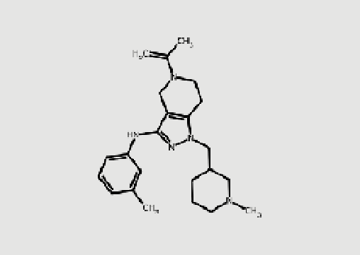 C=C(C)N1CCc2c(c(Nc3cccc(C)c3)nn2CC2CCCN(C)C2)C1